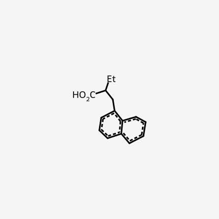 CCC(Cc1cccc2ccccc12)C(=O)O